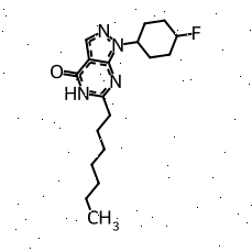 CCCCCCCc1nc2c(cnn2C2CCC(F)CC2)c(=O)[nH]1